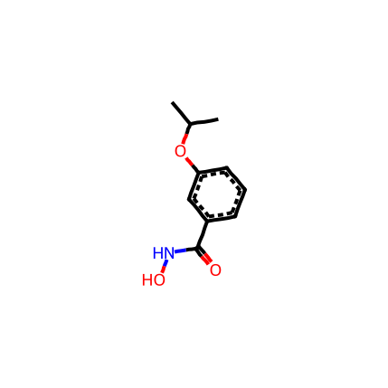 CC(C)Oc1cccc(C(=O)NO)c1